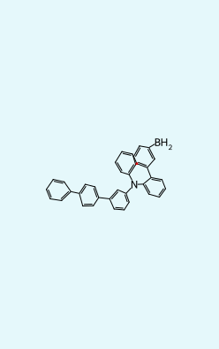 Bc1cccc(-c2ccccc2N(c2ccccc2)c2cccc(-c3ccc(-c4ccccc4)cc3)c2)c1